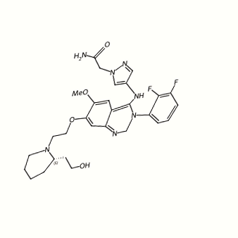 COc1cc2c(cc1OCCN1CCCC[C@H]1CCO)=NCN(c1cccc(F)c1F)C=2Nc1cnn(CC(N)=O)c1